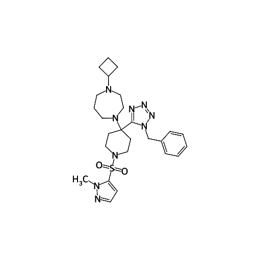 Cn1nccc1S(=O)(=O)N1CCC(c2nnnn2Cc2ccccc2)(N2CCCN(C3CCC3)CC2)CC1